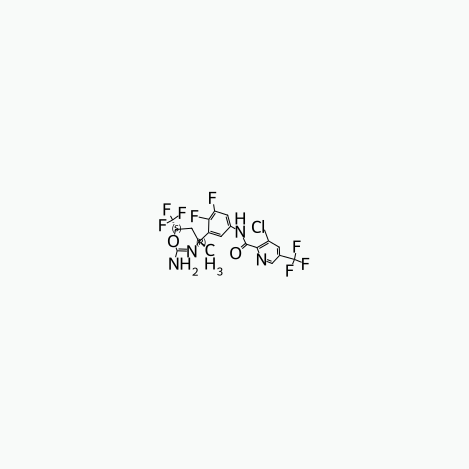 C[C@]1(c2cc(NC(=O)c3ncc(C(F)(F)F)cc3Cl)cc(F)c2F)C[C@@H](C(F)(F)F)OC(N)=N1